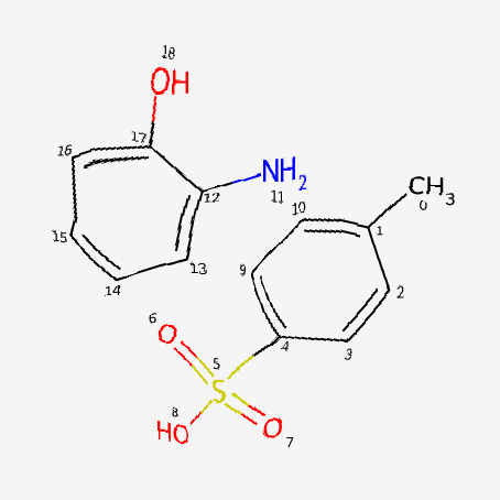 Cc1ccc(S(=O)(=O)O)cc1.Nc1ccccc1O